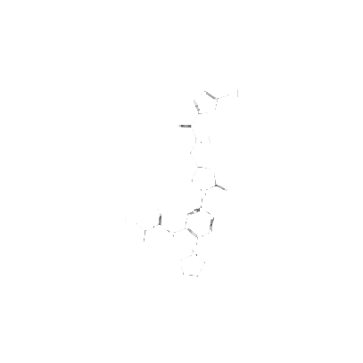 CCC(CC)C(=O)Nc1cc(N2CC(CNC(=O)c3ccc(Cl)s3)OC2=O)ccc1N1CCCC1